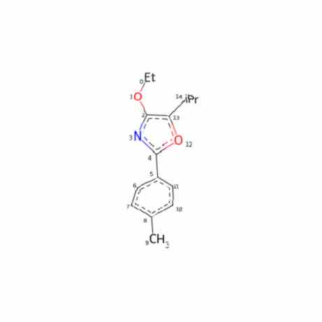 CCOc1nc(-c2ccc(C)cc2)oc1C(C)C